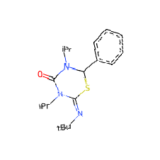 CC(C)N1C(=O)N(C(C)C)C(c2ccccc2)SC1=NC(C)(C)C